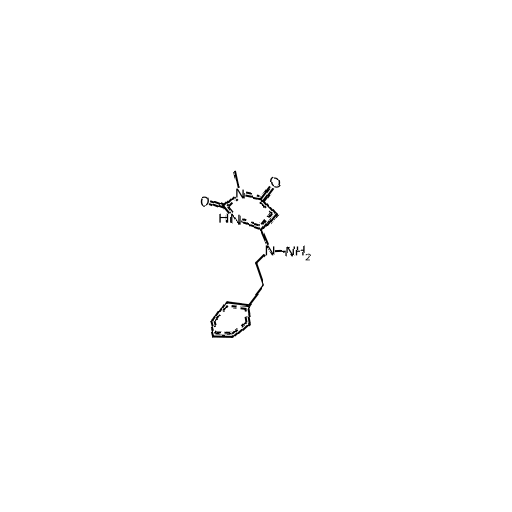 Cn1c(=O)cc(N(N)CCc2ccccc2)[nH]c1=O